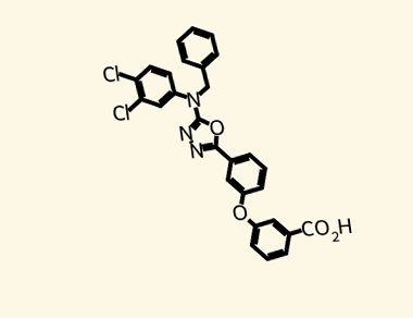 O=C(O)c1cccc(Oc2cccc(-c3nnc(N(Cc4ccccc4)c4ccc(Cl)c(Cl)c4)o3)c2)c1